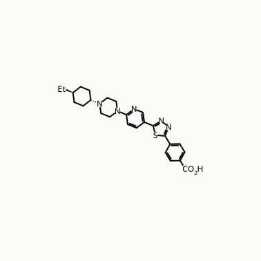 CC[C@H]1CC[C@H](N2CCN(c3ccc(-c4nnc(-c5ccc(C(=O)O)cc5)s4)cn3)CC2)CC1